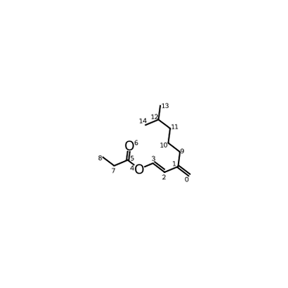 C=C(C=COC(=O)CC)CCCC(C)C